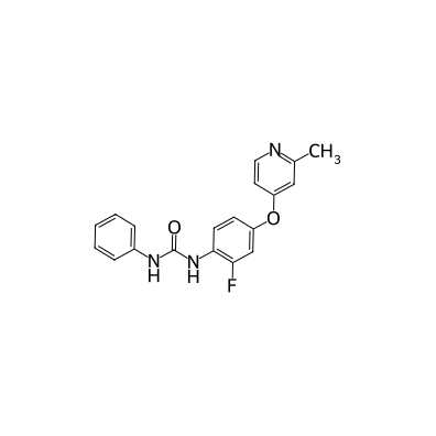 Cc1cc(Oc2ccc(NC(=O)Nc3ccccc3)c(F)c2)ccn1